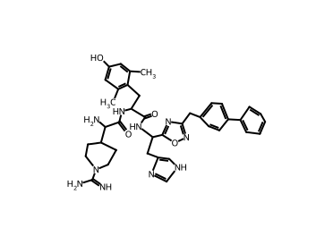 Cc1cc(O)cc(C)c1CC(NC(=O)C(N)C1CCN(C(=N)N)CC1)C(=O)NC(Cc1c[nH]cn1)c1nc(Cc2ccc(-c3ccccc3)cc2)no1